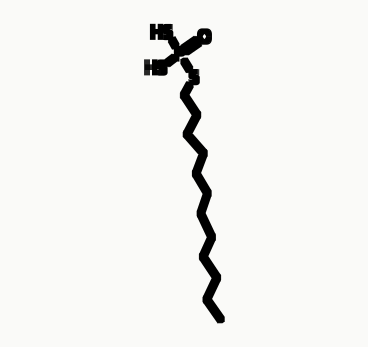 CCCCCCCCCCCCSP(=O)(S)S